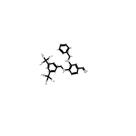 O=Cc1ccc(OCc2cc(C(F)(F)F)cc(C(F)(F)F)c2)c(OCc2ccccc2)c1